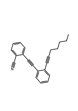 CCCCCC#Cc1ccccc1C#Cc1ccccc1C#N